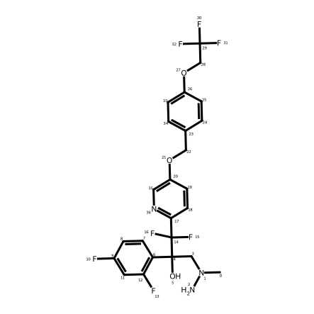 CN(N)CC(O)(c1ccc(F)cc1F)C(F)(F)c1ccc(OCc2ccc(OCC(F)(F)F)cc2)cn1